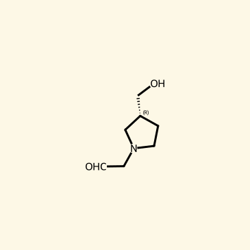 O=CCN1CC[C@@H](CO)C1